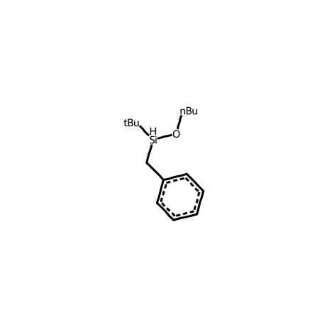 CCCCO[SiH](Cc1ccccc1)C(C)(C)C